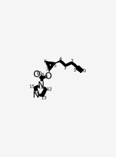 C#CCCC[C@@H]1C[C@H]1OC(=O)n1ccnc1